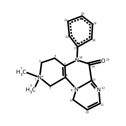 C[N+]1(C)CCC2=C(C1)N1CC=CN=C1C(=O)N2c1ccccc1